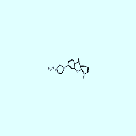 C=C1c2ccc(N3CC[C@H](N)C3)cc2Oc2c(F)cccc21